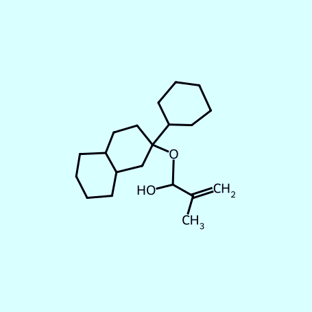 C=C(C)C(O)OC1(C2CCCCC2)CCC2CCCCC2C1